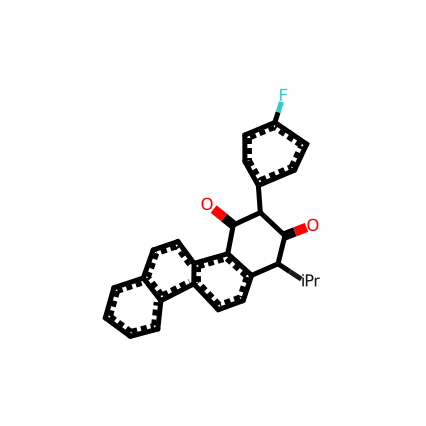 CC(C)C1C(=O)C(c2ccc(F)cc2)C(=O)c2c1ccc1c2ccc2ccccc21